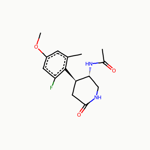 COc1cc(C)c([C@@H]2CC(=O)NC[C@H]2NC(C)=O)c(F)c1